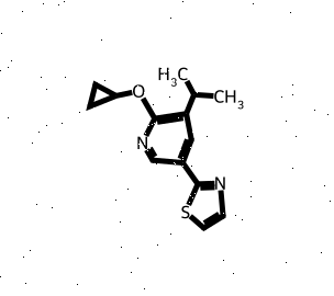 CC(C)c1cc(-c2nccs2)cnc1OC1CC1